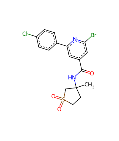 CC1(NC(=O)c2cc(Br)nc(-c3ccc(Cl)cc3)c2)CCS(=O)(=O)C1